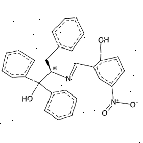 O=[N+]([O-])c1ccc(O)c(C=N[C@H](Cc2ccccc2)C(O)(c2ccccc2)c2ccccc2)c1